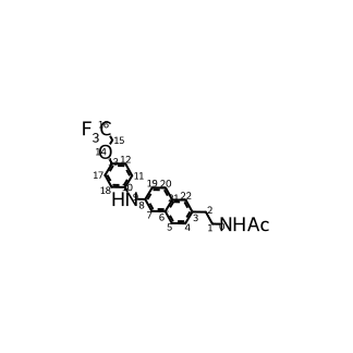 CC(=O)NCCc1ccc2cc(Nc3ccc(OCC(F)(F)F)cc3)ccc2c1